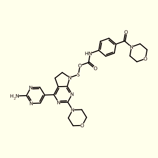 Nc1ncc(-c2nc(N3CCOCC3)nc3c2CCN3SOC(=O)Nc2ccc(C(=O)N3CCOCC3)cc2)cn1